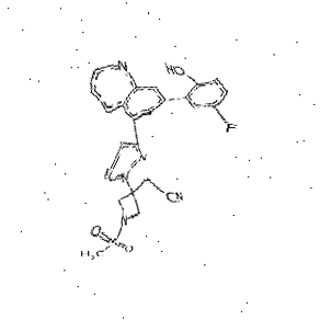 CS(=O)(=O)N1CC(CC#N)(n2ncc(-c3cc(-c4cc(F)ccc4O)cc4ncccc34)n2)C1